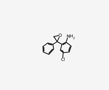 Nc1ccc(Cl)cc1C1(c2ccccc2)CO1